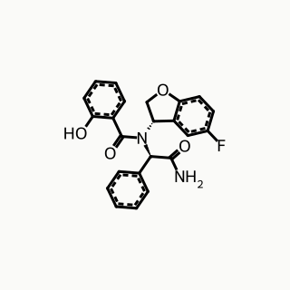 NC(=O)[C@@H](c1ccccc1)N(C(=O)c1ccccc1O)[C@@H]1COc2ccc(F)cc21